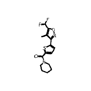 Cc1c(-c2ccc(C(=O)N3CCCCC3)s2)noc1C(F)F